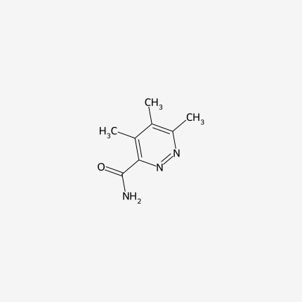 Cc1nnc(C(N)=O)c(C)c1C